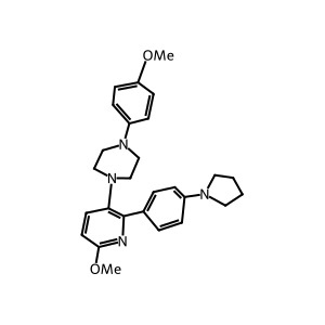 COc1ccc(N2CCN(c3ccc(OC)nc3-c3ccc(N4CCCC4)cc3)CC2)cc1